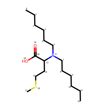 CCCCCCN(CCCCCC)C(CCSC)C(=O)O